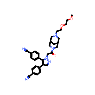 COCCOCCN1CC2CC(C1)CN(C(=O)Cn1ncc(-c3ccc(C#N)cc3)c1-c1ccc(C#N)cc1)C2